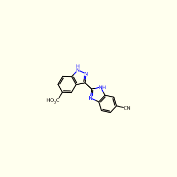 N#Cc1ccc2nc(-c3n[nH]c4ccc(C(=O)O)cc34)[nH]c2c1